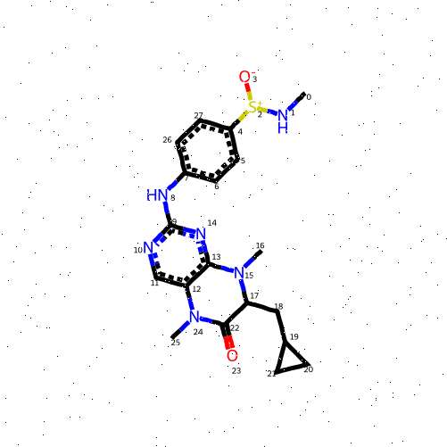 CN[S+]([O-])c1ccc(Nc2ncc3c(n2)N(C)C(CC2CC2)C(=O)N3C)cc1